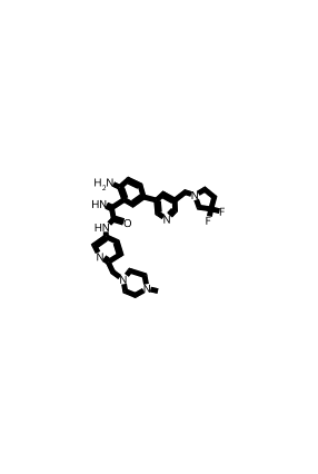 CN1CCN(Cc2ccc(NC(=O)C(=N)c3cc(-c4cncc(CN5CCC(F)(F)C5)c4)ccc3N)cn2)CC1